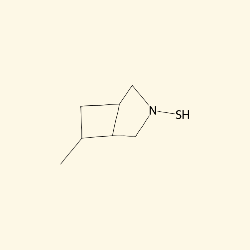 CC1CC2CN(S)CC12